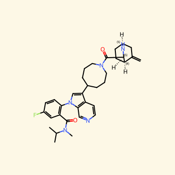 C=C1C[C@@H]2CC[C@H]1[C@@H](C(=O)N1CCCC(c3cn(-c4ccc(F)cc4C(=O)N(C)C(C)C)c4cnccc34)CCC1)N2